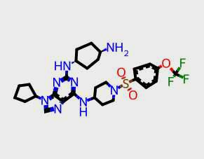 N[C@H]1CC[C@H](Nc2nc(NC3CCN(S(=O)(=O)c4ccc(OC(F)(F)F)cc4)CC3)c3ncn(C4CCCC4)c3n2)CC1